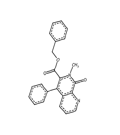 Cn1c(C(=O)OCc2ccccc2)c(-c2ccccc2)c2cccnc2c1=O